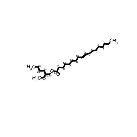 CCCCCCCCC=CCCCCCCCC(=O)OCC(CC)CCCC